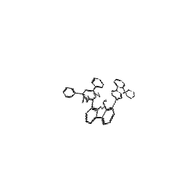 c1ccc(-c2cc(-c3ccccc3)nc(-c3cccc4c3sc3c(-c5ccc6c(c5)C5(CCCCC5)c5ccccc5-6)cccc34)n2)cc1